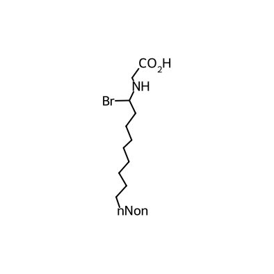 CCCCCCCCCCCCCCCCCC(Br)NCC(=O)O